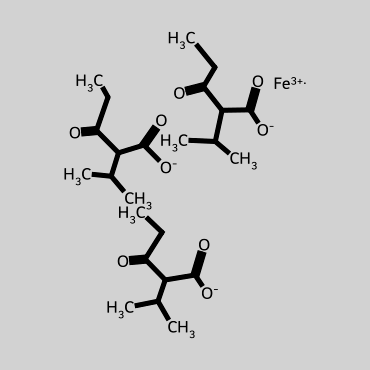 CCC(=O)C(C(=O)[O-])C(C)C.CCC(=O)C(C(=O)[O-])C(C)C.CCC(=O)C(C(=O)[O-])C(C)C.[Fe+3]